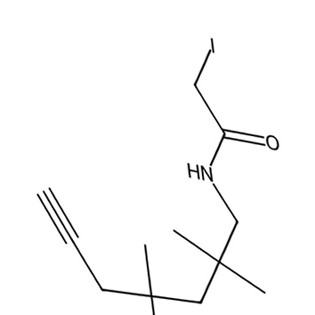 C#CCC(C)(C)CC(C)(C)CNC(=O)CI